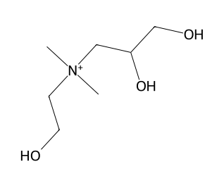 C[N+](C)(CCO)CC(O)CO